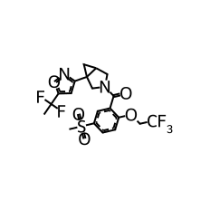 CC(F)(F)c1cc(C23CC2CN(C(=O)c2cc(S(C)(=O)=O)ccc2OCC(F)(F)F)C3)no1